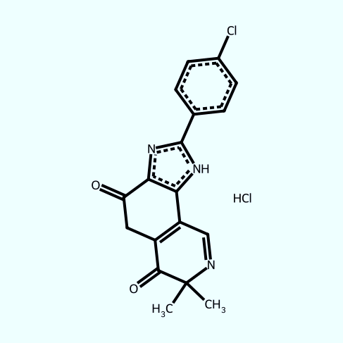 CC1(C)N=CC2=C(CC(=O)c3nc(-c4ccc(Cl)cc4)[nH]c32)C1=O.Cl